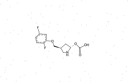 O=C(O)O[C@H]1C[C@H](COc2cc(F)ccc2F)CN1